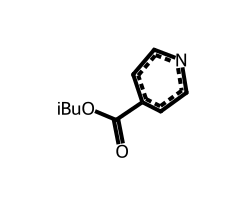 CC(C)COC(=O)c1ccncc1